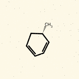 C[C@@H]1C=CC=CC1